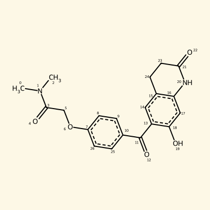 CN(C)C(=O)COc1ccc(C(=O)c2cc3c(cc2O)NC(=O)CC3)cc1